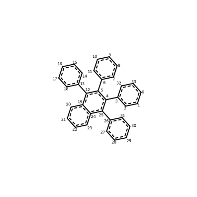 c1ccc(-c2c(-c3ccccc3)c(-c3ccccc3)c3ccccc3c2-c2ccccc2)cc1